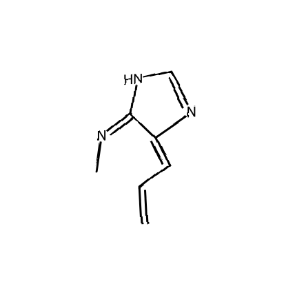 C=C/C=C1/N=CN/C1=N/C